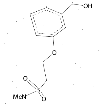 CNS(=O)(=O)CCOc1cc[c]c(CO)c1